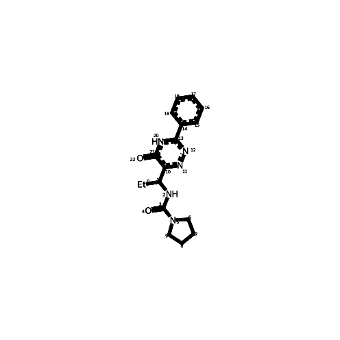 CCC(NC(=O)N1CCCC1)c1nnc(-c2ccccc2)[nH]c1=O